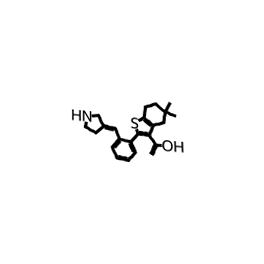 C=C(O)c1c(-c2ccccc2/C=C2\CCNC2)sc2c1CC(C)(C)CC2